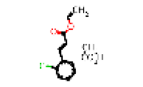 C=COC(=O)/C=C/c1ccccc1Cl.CC(=O)O